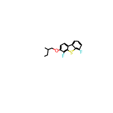 CCC(C)COc1ccc2c(sc3c(F)cccc32)c1F